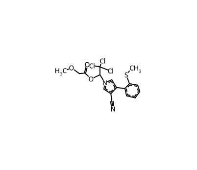 COCC(=O)OC(n1cc(C#N)c(-c2ccccc2SC)c1)C(Cl)(Cl)Cl